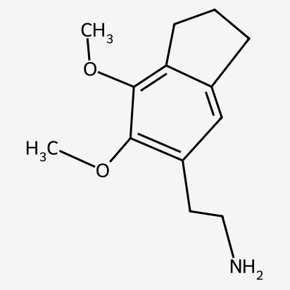 COc1c(CCN)cc2c(c1OC)CCC2